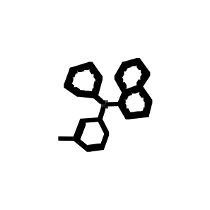 CC1=CC(N(c2ccccc2)c2cccc3ccccc23)CC=C1